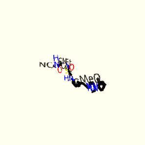 CCn1c(=C=C(C#N)C(=O)NCC#N)sc(=C=CNc2cccc(CCN3CCN(c4ccccc4OC)CC3)c2)c1=O